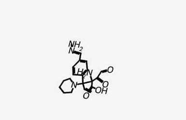 C=CC(c1ccc(C=NN)cc1)(N1CCCCC1)C(N)(C(=O)O)C(=O)C=O